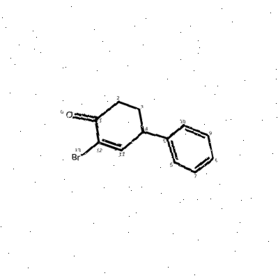 O=C1CCC(c2ccccc2)C=C1Br